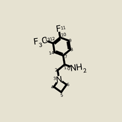 NC(CN1CCC1)c1ccc(F)c(C(F)(F)F)c1